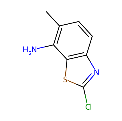 Cc1ccc2nc(Cl)sc2c1N